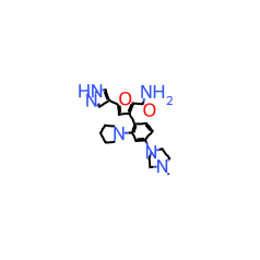 CN1CCN(c2ccc(-c3cc(-c4cn[nH]c4)oc3C(N)=O)c(N3CCCCC3)c2)CC1